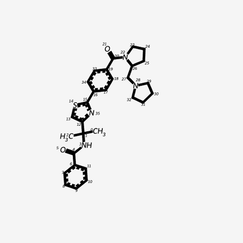 CC(C)(NC(=O)c1ccccc1)c1csc(-c2ccc(C(=O)N3CCCC3CN3CCCC3)cc2)n1